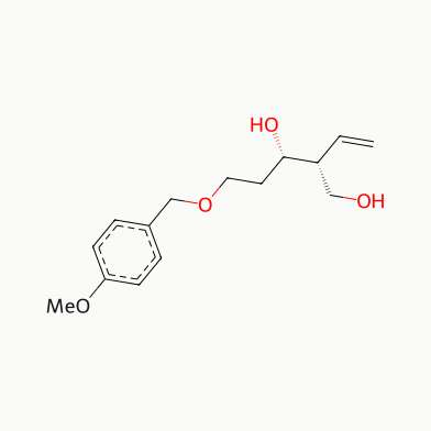 C=C[C@H](CO)[C@@H](O)CCOCc1ccc(OC)cc1